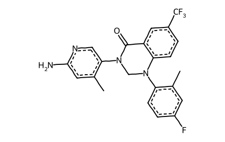 Cc1cc(N)ncc1N1CN(c2ccc(F)cc2C)c2ccc(C(F)(F)F)cc2C1=O